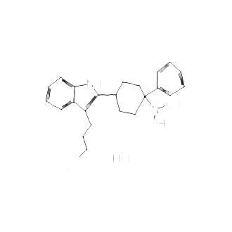 CN(C)C1(c2ccccc2)CCC(c2[nH]c3ccccc3c2CCCC(=O)O)CC1.Cl